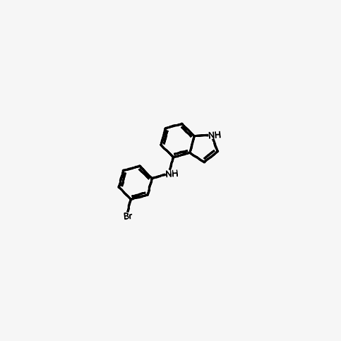 Brc1cccc(Nc2cccc3[nH]ccc23)c1